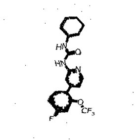 O=C(Nc1cc(-c2ccc(F)cc2OC(F)(F)F)ccn1)NC1CCCCC1